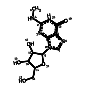 CNc1nc2c(ncn2C2OC(CO)C(O)C2O)c(=O)[nH]1